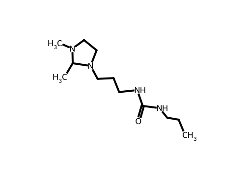 CCCNC(=O)NCCCN1CCN(C)C1C